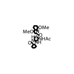 COc1cc(C(=O)N2CCC3(CC2NC(C)=O)NC(=O)c2ccccc2N3)nc2c(OC)cccc12